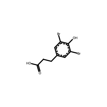 O=C(O)[CH]Cc1cc(Br)c(O)c(Br)c1